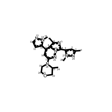 Cc1cc(-c2nc(C)c3c(-c4ccnn4C)cc(N4CCOCC4C)nn23)n(C)n1